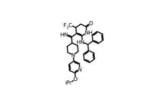 CC(C)Oc1ccc(N2CCC(C(=N)C3=C(NC(c4ccccc4)c4ccccc4)NC(=O)CC3C(F)(F)F)CC2)cn1